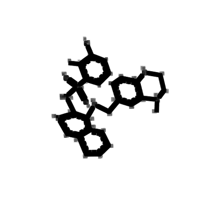 Cc1c(Cl)cccc1S(=O)(=O)Nc1ncc2ccccc2c1OCc1ccc2c(c1)N(C)CCO2